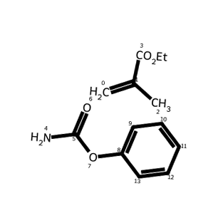 C=C(C)C(=O)OCC.NC(=O)Oc1ccccc1